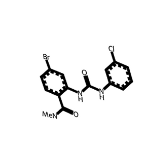 CNC(=O)c1ccc(Br)cc1NC(=O)Nc1cccc(Cl)c1